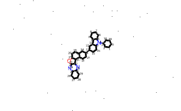 c1ccc(-n2c3ccccc3c3cc(-c4ccc5c(ccc6oc7nc8ccccc8nc7c65)c4)ccc32)cc1